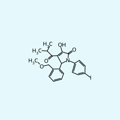 COCc1ccccc1C1C(C(=O)C(C)C)=C(O)C(=O)N1c1ccc(I)cc1